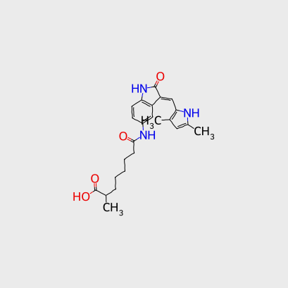 Cc1cc(C)c(C=C2C(=O)Nc3ccc(NC(=O)CCCCCC(C)C(=O)O)cc32)[nH]1